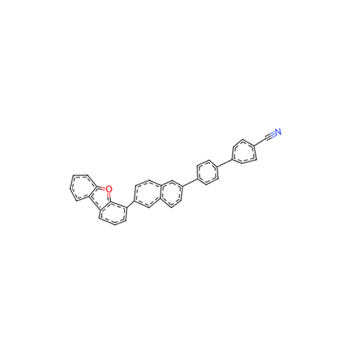 N#Cc1ccc(-c2ccc(-c3ccc4cc(-c5cccc6c5oc5ccccc56)ccc4c3)cc2)cc1